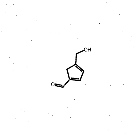 O=CC1=CC=C(CO)C1